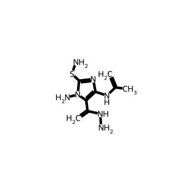 C=C(C)Nc1nc(SN)n(N)c1C(=C)NN